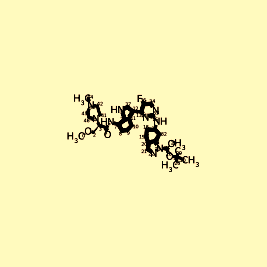 COC[C@H](C(=O)Nc1cccc2c(-c3nc(Nc4ccc5cnn(C(=O)OC(C)(C)C)c5c4)ncc3F)c[nH]c12)N1CCN(C)CC1